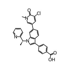 C[C@@H](c1ccccn1)n1cc(-c2ccc(C(=O)O)cc2)c2ccc(-c3cc(Cl)c(=O)n(C)c3)cc21